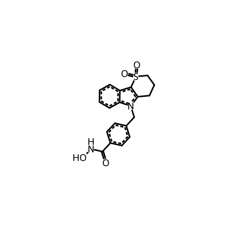 O=C(NO)c1ccc(Cn2c3c(c4ccccc42)S(=O)(=O)CCC3)cc1